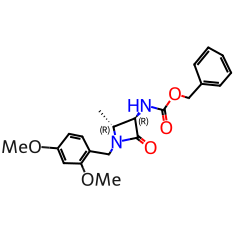 COc1ccc(CN2C(=O)[C@H](NC(=O)OCc3ccccc3)[C@H]2C)c(OC)c1